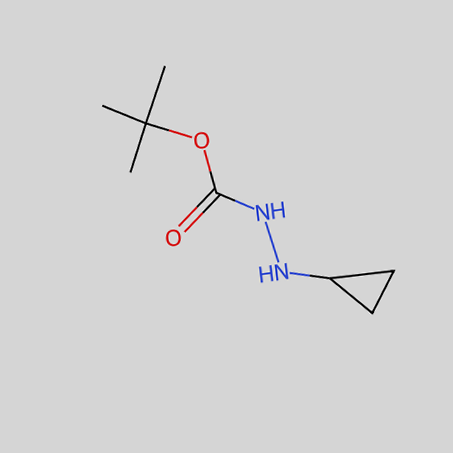 CC(C)(C)OC(=O)NNC1CC1